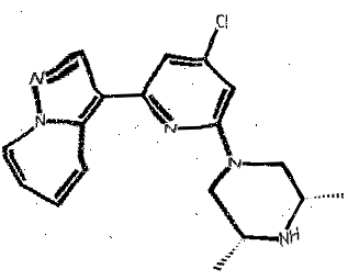 C[C@@H]1CN(c2cc(Cl)cc(-c3cnn4ccccc34)n2)C[C@H](C)N1